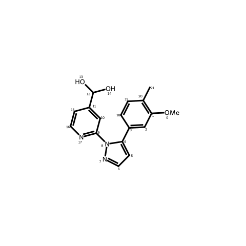 COc1cc(-c2ccnn2-c2cc(C(O)O)ccn2)ccc1C